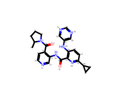 CC1CCCN1C(=O)c1ccncc1NC(=O)c1nc(C2CC2)ccc1Nc1cncnc1